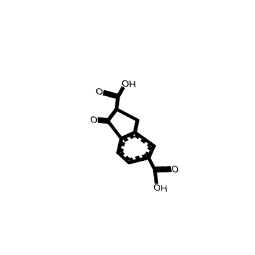 O=C(O)c1ccc2c(c1)CC(C(=O)O)C2=O